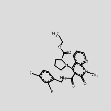 CCOC(=O)[C@@H]1CCCN1c1c(C(=O)NCc2ccc(F)cc2F)c(=O)n(O)c2ncccc12